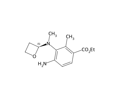 CCOC(=O)c1ccc(N)c(N(C)[C@@H]2CCO2)c1C